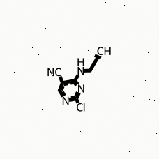 C#CCNc1nc(Cl)ncc1C#N